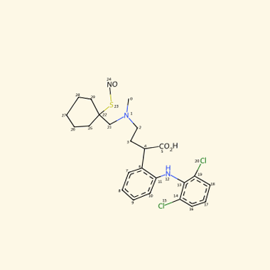 CN(CCC(C(=O)O)c1ccccc1Nc1c(Cl)cccc1Cl)CC1(SN=O)CCCCC1